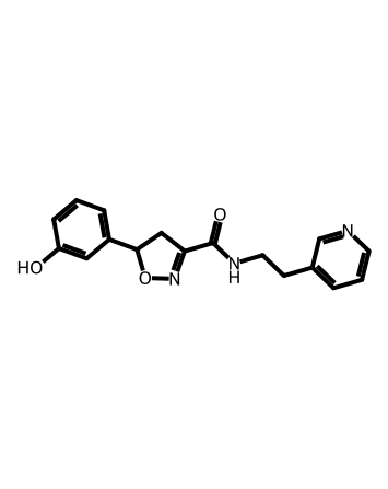 O=C(NCCc1cccnc1)C1=NOC(c2cccc(O)c2)C1